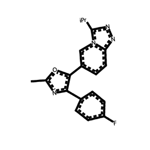 Cc1nc(-c2ccc(F)cc2)c(-c2ccc3nnc(C(C)C)n3c2)o1